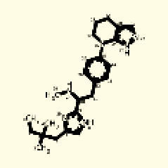 CCC(C)(C)Cc1c[nH]c(C(Cc2ccc(N3CCCc4cn[nH]c43)cc2)NC)n1